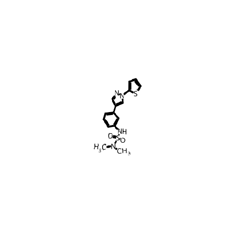 CN(C)S(=O)(=O)Nc1cccc(-c2cnn(-c3cccs3)c2)c1